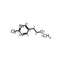 COCCc1cnc(Cl)nc1